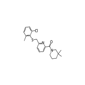 Cc1cccc(Cl)c1SCc1cccc(C(=O)N2CCCC(C)(C)C2)n1